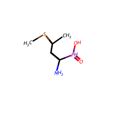 CSC(C)CC(N)[PH](=O)O